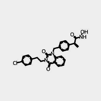 C=C(C(=O)NO)c1ccc(Cn2c(=O)n(CCc3ccc(Cl)cc3)c(=O)c3ccccc32)cc1